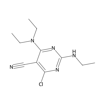 CCNc1nc(Cl)c(C#N)c(N(CC)CC)n1